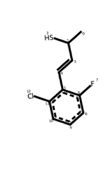 CC(S)/C=C/c1c(F)cccc1Cl